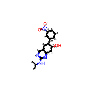 CC(C)Nc1ncc2cc(-c3cccc([N+](=O)[O-])c3)c(O)cc2n1